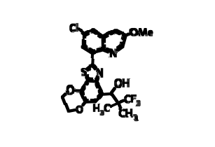 COc1cnc2c(-c3nc4c(C(O)C(C)(C)C(F)(F)F)cc5c(c4s3)OCCO5)cc(Cl)cc2c1